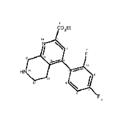 CCOC(=O)c1cc(-c2ccc(F)cc2F)c2c(n1)CNCC2